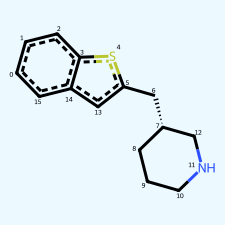 c1ccc2sc(C[C@H]3CCCNC3)cc2c1